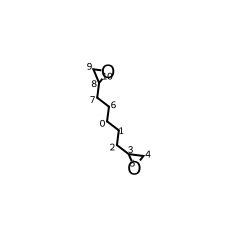 C(CCC1CO1)CCC1CO1